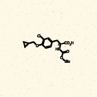 CC(C)(C)OC(=O)N[C@@H](Cc1ccc(OCC2CC2)c(Cl)c1)C(=O)O